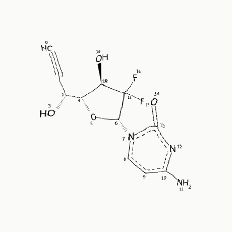 C#C[C@@H](O)[C@H]1O[C@@H](n2ccc(N)nc2=O)C(F)(F)[C@@H]1O